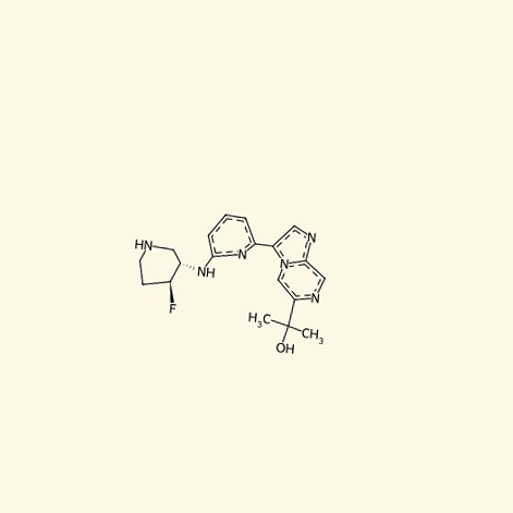 CC(C)(O)c1cn2c(-c3cccc(N[C@H]4CNCC[C@@H]4F)n3)cnc2cn1